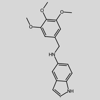 COc1cc(CNc2ccc3[nH][c]cc3c2)cc(OC)c1OC